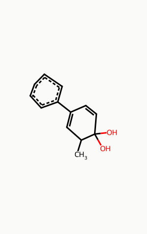 CC1C=C(c2ccccc2)C=CC1(O)O